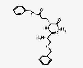 NC(=O)[C@@H](CCC(=O)OCc1ccccc1)NC(=O)[C@@H](N)COCc1ccccc1